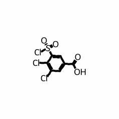 O=C(O)c1cc(Cl)c(Cl)c(S(=O)(=O)Cl)c1